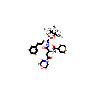 CC1(C)OB([C@H](CCCc2ccccc2)NC(=O)C(CC(=O)N2CCOCC2)NC(=O)C2CCOCC2)OC1(C)C